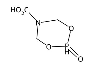 O=C(O)N1CO[PH](=O)OC1